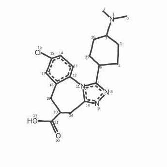 CN(C)C1CCC(c2nnc3n2-c2ccc(Cl)cc2CC(C(=O)O)C3)CC1